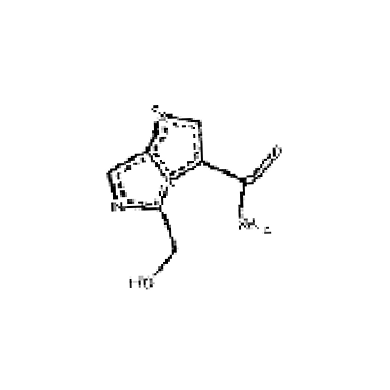 NC(=O)c1csc2cnc(CO)n12